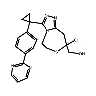 CC1(CO)Cc2nnc(C3(c4ccc(-c5ncccn5)cc4)CC3)n2CCS1